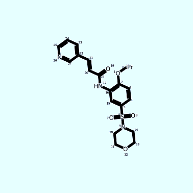 CC(C)Oc1ccc(S(=O)(=O)N2CCOCC2)cc1NC(=O)/C=C/c1cccnc1